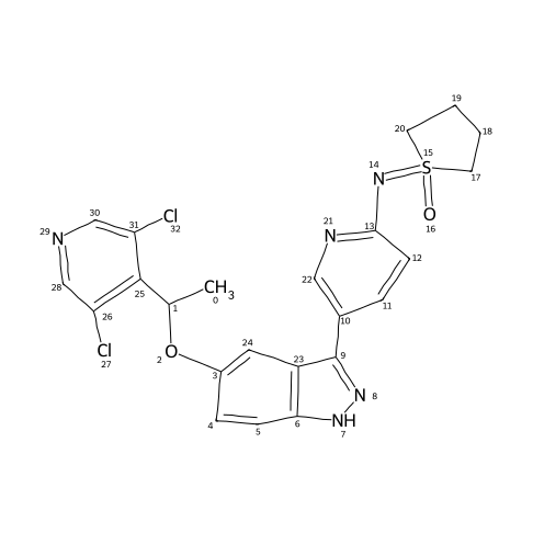 CC(Oc1ccc2[nH]nc(-c3ccc(N=S4(=O)CCCC4)nc3)c2c1)c1c(Cl)cncc1Cl